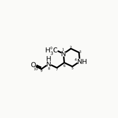 CN1CCNCC1CNC=O